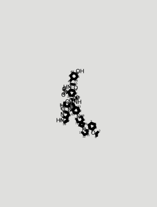 CC(C)Oc1ccccc1[C@@H]1CCCN1C1CC2(CCN(c3ccc(C(=O)NS(=O)(=O)c4cc5c(c([N+](=O)[O-])c4)N[C@H](CC4CCC(O)CC4)CO5)c(N4c5cc6cc[nH]c6nc5O[C@@H]5COC[C@H]54)c3)CC2)C1